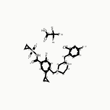 O=C(NS(=O)(=O)C1CC1)c1cc(C2CC2)c(CN2CCO[C@H](Cc3ccc(F)cc3Cl)C2)cc1F.O=C(O)C(F)(F)F